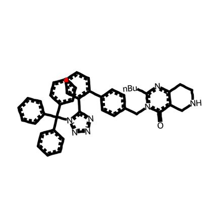 CCCCc1nc2c(c(=O)n1Cc1ccc(-c3ccccc3-c3nnnn3C(c3ccccc3)(c3ccccc3)c3ccccc3)cc1)CNCC2